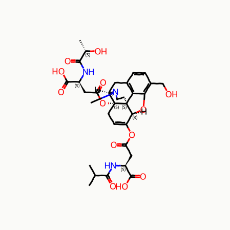 CC(C)C(=O)N[C@@H](CC(=O)OC1=CC[C@@]2(OC(=O)C[C@H](NC(=O)[C@H](C)O)C(=O)O)[C@H]3Cc4ccc(CO)c5c4[C@@]2(CCN3C)[C@H]1O5)C(=O)O